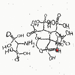 NC(P(=O)(O)O)P(=O)(O)O.O=P(O)(O)C(N(C(P(=O)(O)O)P(=O)(O)O)C1(P(=O)(O)O)CCOP1(=O)O)P(=O)(O)O